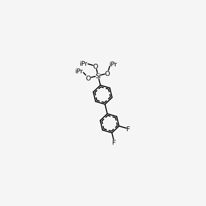 CC(C)O[Si](OC(C)C)(OC(C)C)c1ccc(-c2ccc(F)c(F)c2)cc1